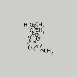 C=CCC1COC[C@@H](CC(=O)OC(C)(C)C)C1=O